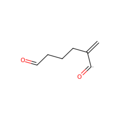 C=C([C]=O)CCCC=O